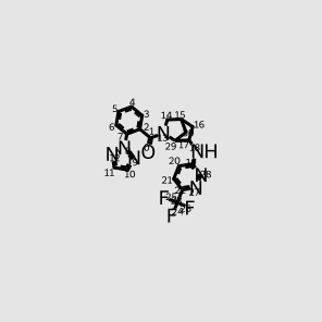 O=C(c1ccccc1-n1nccn1)N1CC2CC(Nc3ccc(C(F)(F)F)nn3)C1C2